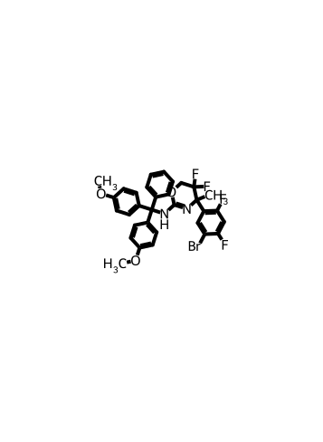 COc1ccc(C(NC2=NC(C)(c3cc(Br)c(F)cc3F)C(F)(F)CO2)(c2ccccc2)c2ccc(OC)cc2)cc1